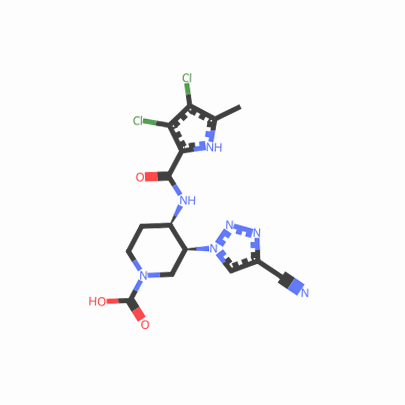 Cc1[nH]c(C(=O)N[C@@H]2CCN(C(=O)O)C[C@@H]2n2cc(C#N)nn2)c(Cl)c1Cl